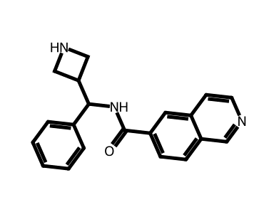 O=C(NC(c1ccccc1)C1CNC1)c1ccc2cnccc2c1